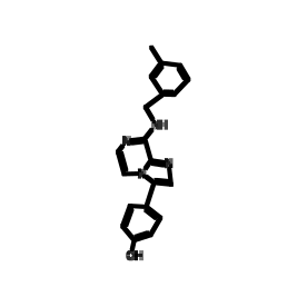 Cc1cccc(CNc2nccn3c(-c4ccc(O)cc4)cnc23)c1